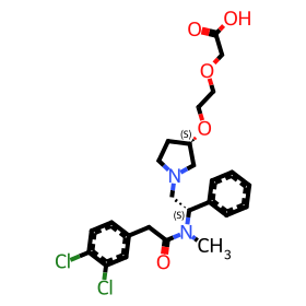 CN(C(=O)Cc1ccc(Cl)c(Cl)c1)[C@H](CN1CC[C@H](OCCOCC(=O)O)C1)c1ccccc1